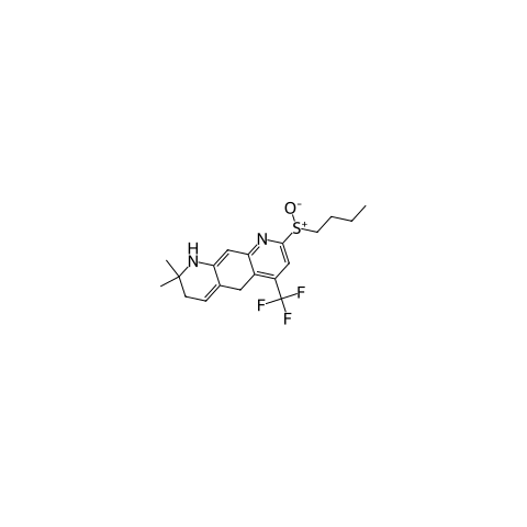 CCCC[S+]([O-])c1cc(C(F)(F)F)c2c(n1)C=C1NC(C)(C)CC=C1C2